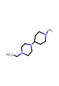 CN1CCC(N2CCN(CC(=O)O)CC2)CC1